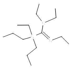 CCC[N+](CC)(CCC)C(=NCC)N(CC)CC.[Cl-]